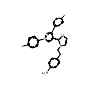 Nc1ccc(CCN2C=COC2c2cn(-c3ccc(Br)cc3)nc2-c2ccc(F)cc2)cc1